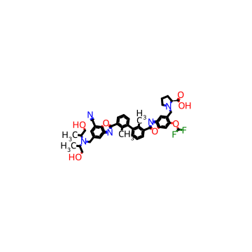 Cc1c(-c2nc3cc(CN4CCC[C@H]4C(=O)O)c(OC(F)F)cc3o2)cccc1-c1cccc(-c2nc3cc(CN(C(C)CO)C(C)CO)cc(C#N)c3o2)c1C